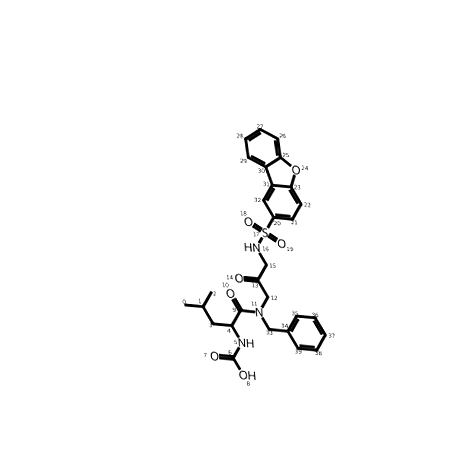 CC(C)CC(NC(=O)O)C(=O)N(CC(=O)CNS(=O)(=O)c1ccc2oc3ccccc3c2c1)Cc1ccccc1